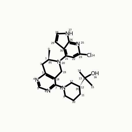 C[C@@H]1Cc2ncnc(N3CCC[C@@H](C(C)(C)O)C3)c2CN1c1cc(Cl)nc2[nH]ccc12